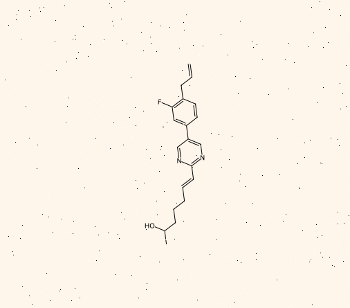 C=CCc1ccc(-c2cnc(C=CCCCC(C)O)nc2)cc1F